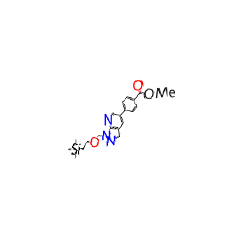 COC(=O)c1ccc(-c2cnc3c(cnn3COCC[Si](C)(C)C)c2)cc1